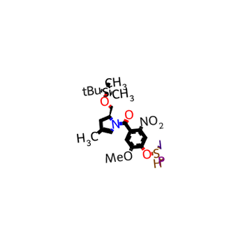 COc1cc(C(=O)N2C=C(C)C[C@H]2CO[Si](C)(C)C(C)(C)C)c([N+](=O)[O-])cc1O[SH](#P)I